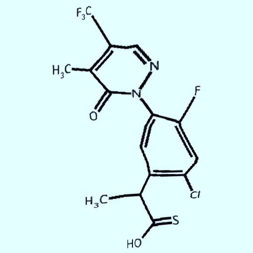 Cc1c(C(F)(F)F)cnn(-c2cc(C(C)C(O)=S)c(Cl)cc2F)c1=O